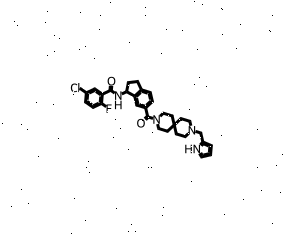 O=C(NC1CCc2ccc(C(=O)N3CCC4(CCN(Cc5ccc[nH]5)CC4)CC3)cc21)c1cc(Cl)ccc1F